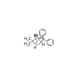 CC[C@@H]1[C@H](P(c2ccccc2)c2ccccc2)C[C@@H]2C[C@H]1C2(C)C